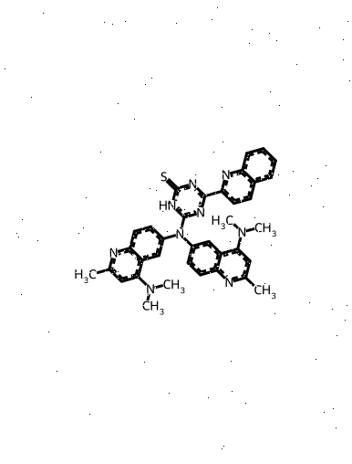 Cc1cc(N(C)C)c2cc(N(c3ccc4nc(C)cc(N(C)C)c4c3)c3nc(-c4ccc5ccccc5n4)nc(=S)[nH]3)ccc2n1